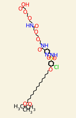 CC(C)(C)OC(=O)CCCCCCCCCCCCCCCOc1ccc(S(=O)(=O)Nc2ccc(C(=O)NCCOCCOCC(=O)NCCOCCOCC(=O)O)cn2)cc1Cl